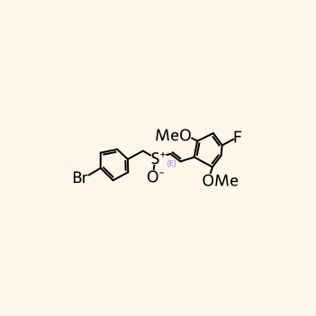 COc1cc(F)cc(OC)c1/C=C/[S+]([O-])Cc1ccc(Br)cc1